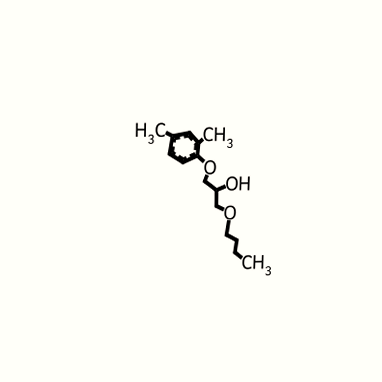 CCCCOCC(O)COc1ccc(C)cc1C